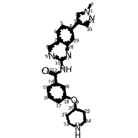 Cn1cc(-c2ccc3cnc(NC(=O)c4cccc(OC5CCNCC5)c4)nc3c2)cn1